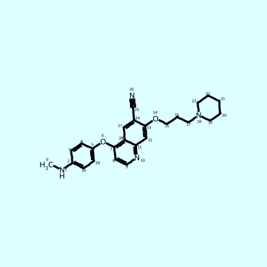 CNc1ccc(Oc2ccnc3cc(OCCCN4CCCCC4)c(C#N)cc23)cc1